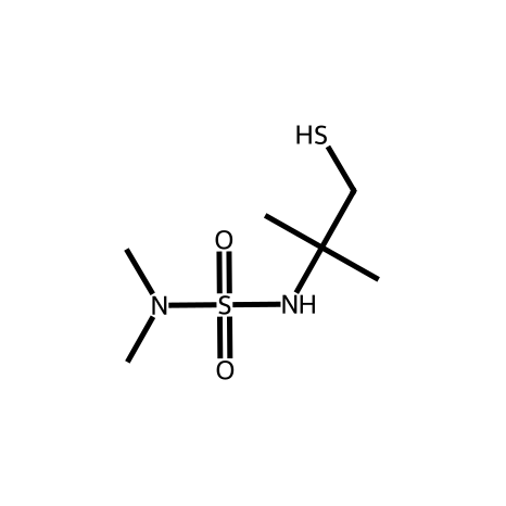 CN(C)S(=O)(=O)NC(C)(C)CS